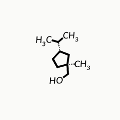 CC(C)[C@H]1CC[C@](C)(CO)C1